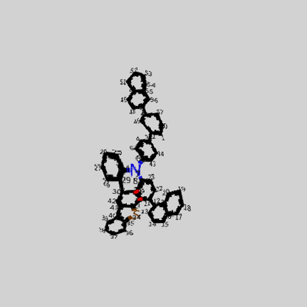 c1cc(-c2ccc(N(c3ccc(-c4cccc5ccccc45)cc3)c3ccccc3-c3ccc4sc5ccccc5c4c3)cc2)cc(-c2ccc3ccccc3c2)c1